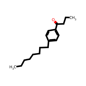 CCCCCCCCc1ccc(C(=O)CCC)cc1